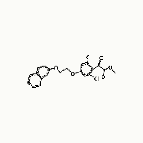 COC(=O)C(=O)c1c(Cl)cc(OCCOc2ccc3ccccc3c2)cc1Cl